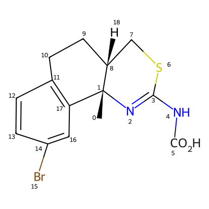 C[C@]12N=C(NC(=O)O)SC[C@H]1CCc1ccc(Br)cc12